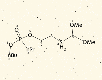 CCCCOP(=O)(CCC)OCC[SiH2]C(OC)OC